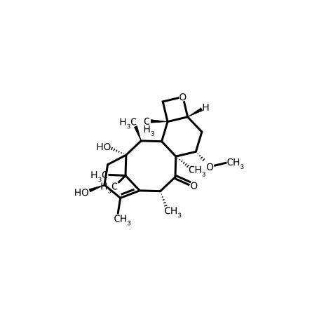 CO[C@H]1C[C@H]2OC[C@@]2(C)C2[C@H](C)[C@]3(O)C[C@H](O)C(C)=C([C@@H](C)C(=O)[C@@]21C)C3(C)C